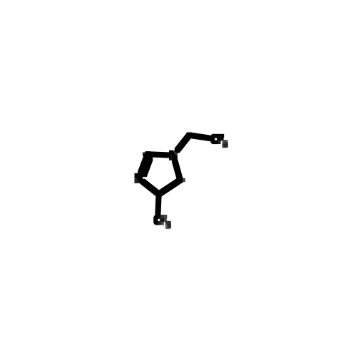 FC(F)(F)CN1[C]=NC(C(F)(F)F)[CH]1